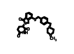 CN1CCN(Cc2ccc(CSc3cccc4c3CN(C3CCC(=O)NC3=O)C4=O)cc2)CC1